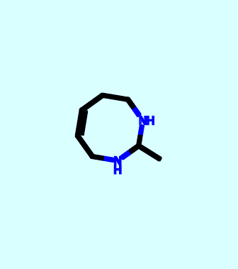 CC1NC/C=C\CCN1